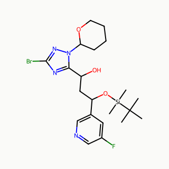 CC(C)(C)[Si](C)(C)OC(CC(O)c1nc(Br)nn1C1CCCCO1)c1cncc(F)c1